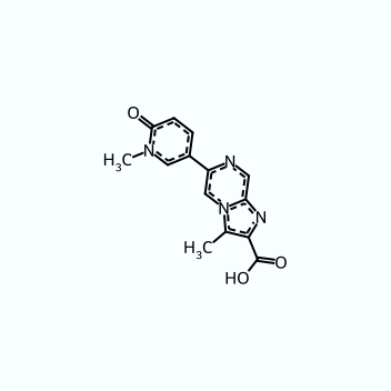 Cc1c(C(=O)O)nc2cnc(-c3ccc(=O)n(C)c3)cn12